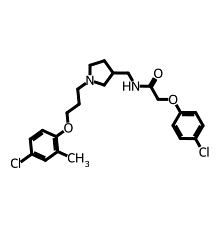 Cc1cc(Cl)ccc1OCCCN1CCC(CNC(=O)COc2ccc(Cl)cc2)C1